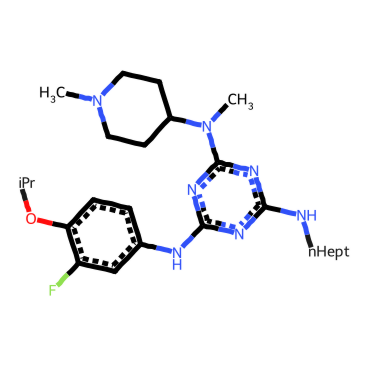 CCCCCCCNc1nc(Nc2ccc(OC(C)C)c(F)c2)nc(N(C)C2CCN(C)CC2)n1